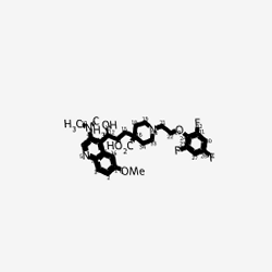 COc1ccc2ncc(N(C)C)c([C@@H](O)CCC3(C(=O)O)CCN(CCOc4c(F)cc(F)cc4F)CC3)c2c1